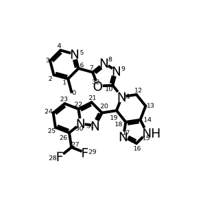 Cc1cccnc1-c1nnc(N2CCc3[nH]cnc3C2c2cc3cccc(C(F)F)n3n2)o1